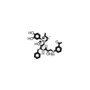 CC[C@H](C)CN(C[C@@H](O)[C@H](Cc1ccccc1)NC(=O)[C@@H](O)CNc1cccc(C(C)=O)c1)S(=O)(=O)c1ccc(O)c(O)c1